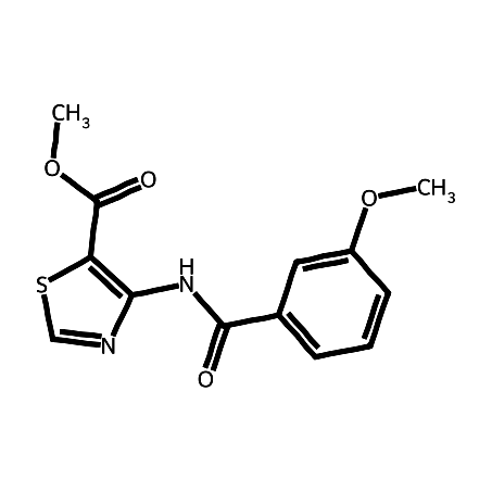 COC(=O)c1scnc1NC(=O)c1cccc(OC)c1